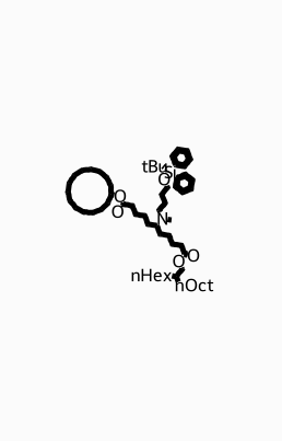 CCCCCCCCC(CCCCCC)COC(=O)CCCCC(CCCCC(=O)OC1CCCCCCCCCCCCCC1)N(C)CCCCO[Si](c1ccccc1)(c1ccccc1)C(C)(C)C